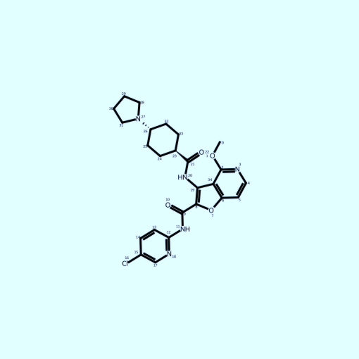 COc1nccc2oc(C(=O)Nc3ccc(Cl)cn3)c(NC(=O)[C@H]3CC[C@H](N4CCCC4)CC3)c12